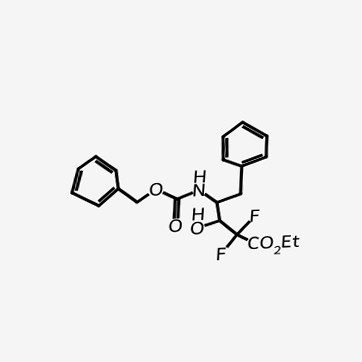 CCOC(=O)C(F)(F)C(O)C(Cc1ccccc1)NC(=O)OCc1ccccc1